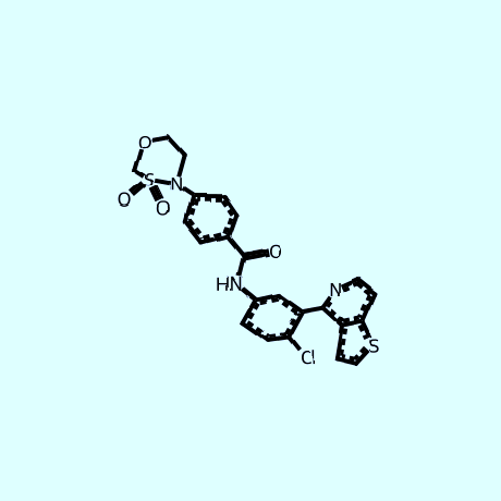 O=C(Nc1ccc(Cl)c(-c2nccc3sccc23)c1)c1ccc(N2CCOCS2(=O)=O)cc1